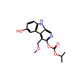 COCc1c(OC(=O)OC(C)C)ncc2[nH]c3ccc(O)cc3c12